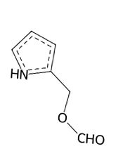 O=COCc1ccc[nH]1